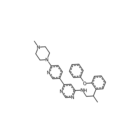 CC(CNc1cc(-c2ccc(N3CCN(C)CC3)nc2)ncn1)c1ccccc1Oc1ccccc1